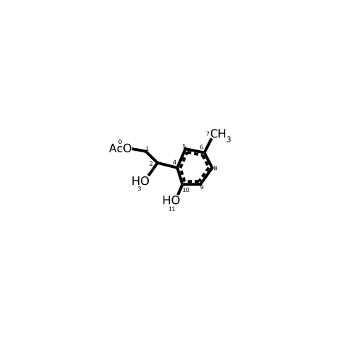 CC(=O)OCC(O)c1cc(C)ccc1O